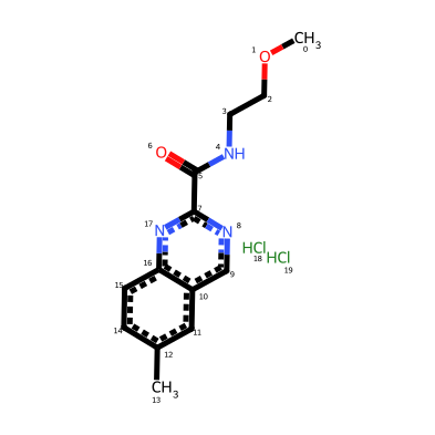 COCCNC(=O)c1ncc2cc(C)ccc2n1.Cl.Cl